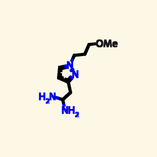 COCCCn1ccc(CC(N)N)n1